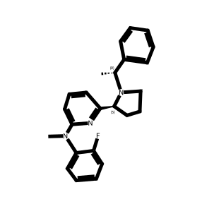 C[C@H](c1ccccc1)N1CCC[C@H]1c1cccc(N(C)c2ccccc2F)n1